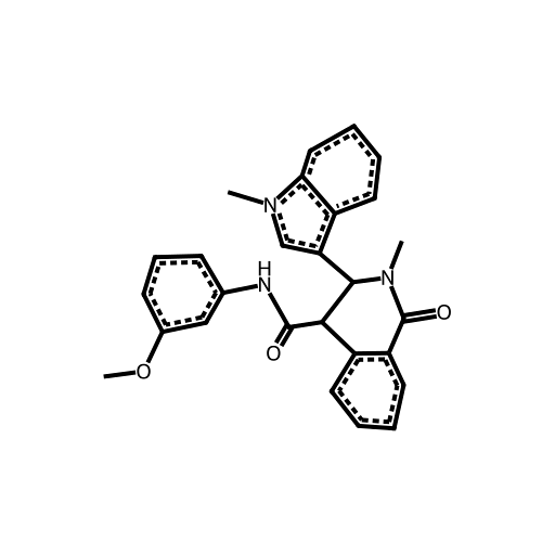 COc1cccc(NC(=O)C2c3ccccc3C(=O)N(C)C2c2cn(C)c3ccccc23)c1